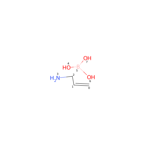 C=CCN.OB(O)O